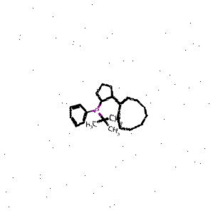 CC(C)(C)P(c1ccccc1)C1CCCC1C1CCCCCCCC1